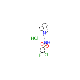 Cl.O=S(=O)(NCCCN1CCc2cccc3c2C1CC3)c1ccc(F)c(Cl)c1